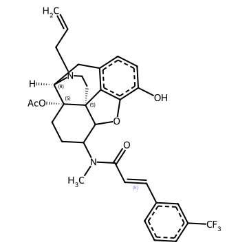 C=CCN1CC[C@]23c4c5ccc(O)c4OC2C(N(C)C(=O)/C=C/c2cccc(C(F)(F)F)c2)CC[C@@]3(OC(C)=O)[C@H]1C5